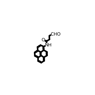 O=CCCC(=O)Nc1ccc2ccc3cccc4ccc1c2c34